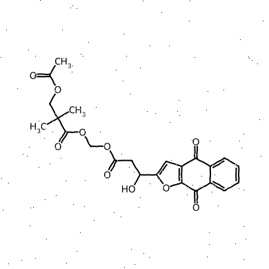 CC(=O)OCC(C)(C)C(=O)OCOC(=O)CC(O)c1cc2c(o1)C(=O)c1ccccc1C2=O